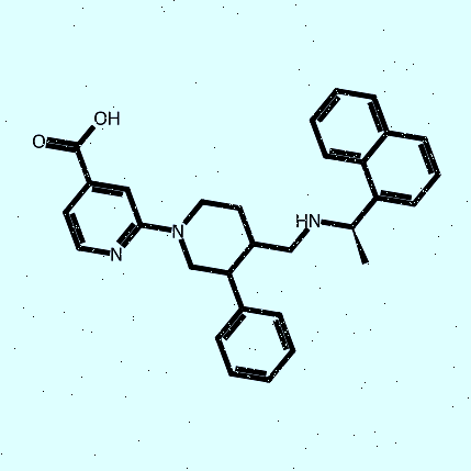 C[C@@H](NCC1CCN(c2cc(C(=O)O)ccn2)CC1c1ccccc1)c1cccc2ccccc12